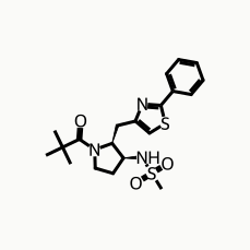 CC(C)(C)C(=O)N1CC[C@H](NS(C)(=O)=O)[C@@H]1Cc1csc(-c2ccccc2)n1